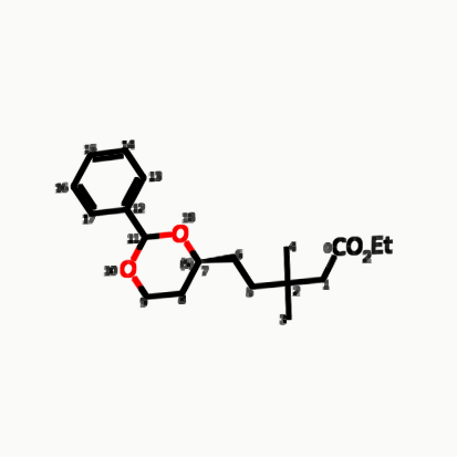 CCOC(=O)CC(C)(C)CC[C@H]1CCOC(c2ccccc2)O1